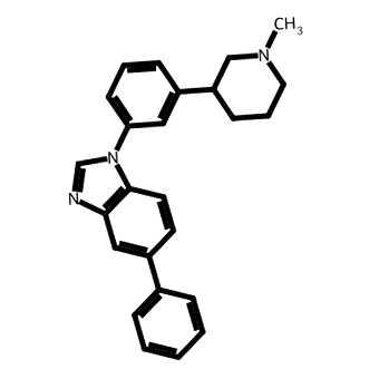 CN1CCCC(c2cccc(-n3cnc4cc(-c5ccccc5)ccc43)c2)C1